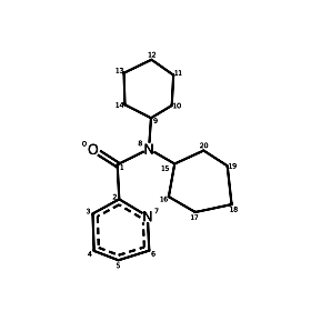 O=C(c1ccccn1)N(C1CCCCC1)C1CCCCC1